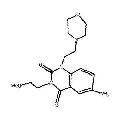 COCCn1c(=O)c2cc(N)ccc2n(CCN2CCOCC2)c1=O